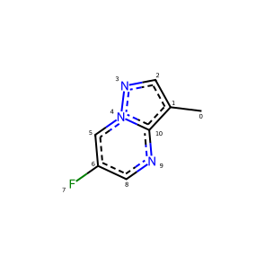 Cc1cnn2cc(F)cnc12